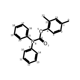 Cc1ccc(OC(=O)N(c2ccccc2)c2ccccc2)c(C)c1